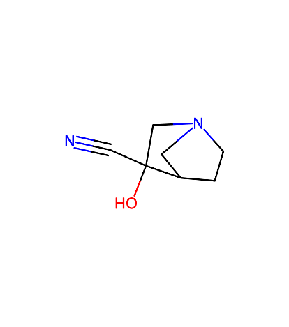 N#CC1(O)CN2CCC1C2